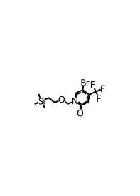 C[Si](C)(C)CCOCn1cc(Br)c(C(F)(F)F)cc1=O